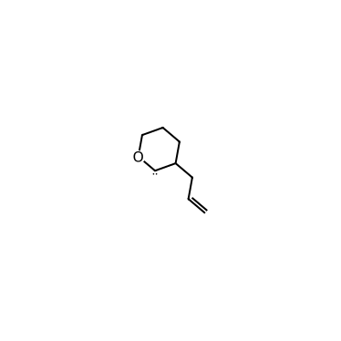 C=CCC1[C]OCCC1